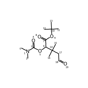 CN(C)C(=O)OC(C(=O)OC(C)(C)C)C(C)(C)CC=O